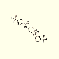 O=C(NC1CCC(F)(S(=O)(=O)c2cccc(C(F)(F)F)c2)CC1)c1ccc(C(F)(F)F)nc1